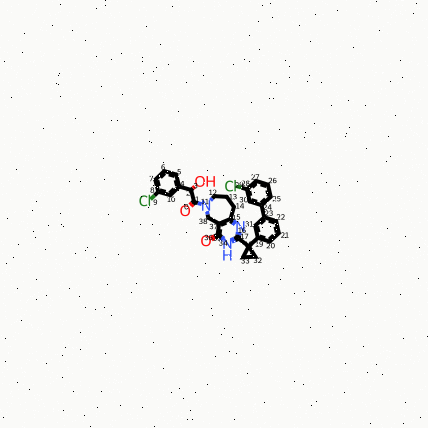 O=C(C(O)c1cccc(Cl)c1)N1CCCc2nc(C3(c4cccc(-c5cccc(Cl)c5)c4)CC3)[nH]c(=O)c2C1